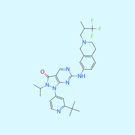 CC(C)n1c(=O)c2cnc(Nc3ccc4c(c3)CN(CC(C)C(F)(F)F)CC4)nc2n1-c1ccnc(C(C)(C)C)c1